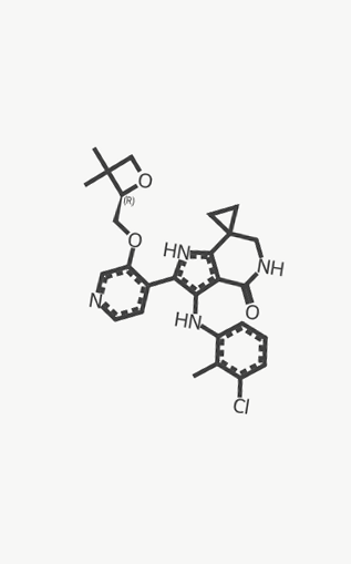 Cc1c(Cl)cccc1Nc1c(-c2ccncc2OC[C@@H]2OCC2(C)C)[nH]c2c1C(=O)NCC21CC1